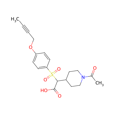 CC#CCOc1ccc(S(=O)(=O)C(C(=O)O)C2CCN(C(C)=O)CC2)cc1